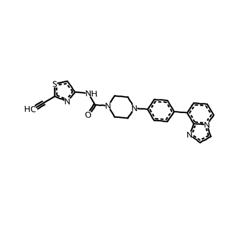 C#Cc1nc(NC(=O)N2CCN(c3ccc(-c4cccn5ccnc45)cc3)CC2)cs1